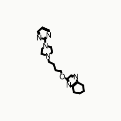 c1cnc(N2CCN(CCCCOc3cnc4c(n3)CCCC4)CC2)nc1